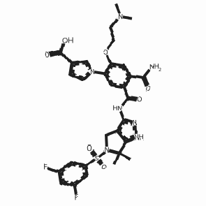 CN(C)CCOc1cc(C(N)=O)c(C(=O)Nc2n[nH]c3c2CN(S(=O)(=O)c2cc(F)cc(F)c2)C3(C)C)cc1-n1ccc(C(=O)O)c1